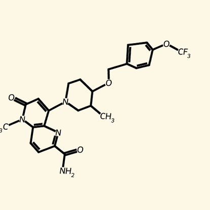 CC1CN(c2cc(=O)n(C)c3ccc(C(N)=O)nc23)CCC1OCc1ccc(OC(F)(F)F)cc1